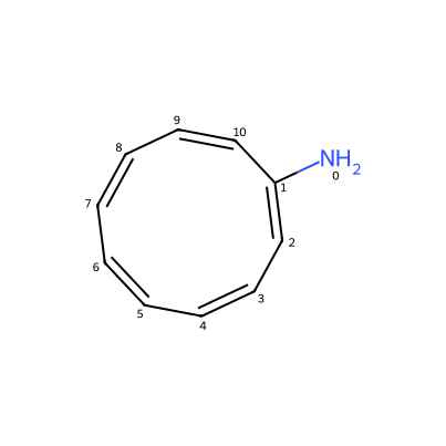 Nc1ccccccccc1